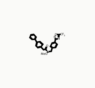 CON(Cc1ccc(-c2noc(C(F)(F)F)n2)cc1)C(=O)Cc1ccc(-c2ccccc2)cc1